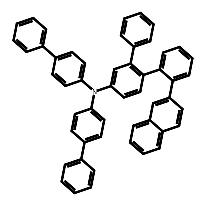 c1ccc(-c2ccc(N(c3ccc(-c4ccccc4)cc3)c3ccc(-c4ccccc4-c4ccc5ccccc5c4)c(-c4ccccc4)c3)cc2)cc1